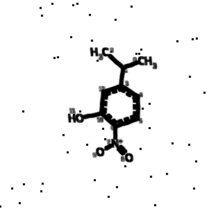 CC(C)c1ccc([N+](=O)[O-])c(O)c1